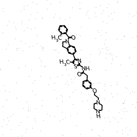 Cc1ccccc1C(=O)N1CCc2cc(-c3nc(NC(=O)Cc4cccc(OCCN5CCNCC5)c4)sc3C)ccc21